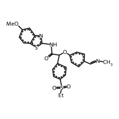 CCS(=O)(=O)c1ccc(C(Oc2ccc(/C=N/C)cc2)C(=O)Nc2nc3cc(OC)ccc3s2)cc1